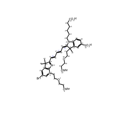 COCCOCC[n+]1cc(Br)cc2c1N=C(/C=C/C=C/C=C1/N(CCCCCC(=O)O)c3ccc(S(=O)(=O)O)cc3C1(C)CCOCCOC)C2(C)C